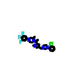 C=C(c1cc(CN2CCN(c3ccccc3Cl)C2)cn1C)N1CCN(c2cc(F)c(F)c(F)c2)CC1C